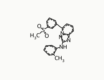 Cc1ccccc1Nc1nc2cccc(-c3cccc(S(C)(=O)=O)c3)n2n1